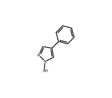 CCCn1cc(-c2cc[c]cc2)cn1